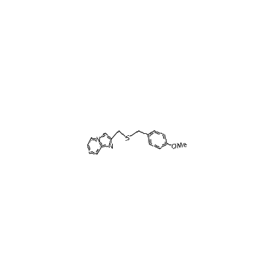 COc1ccc(CSCc2cn3ccccc3n2)cc1